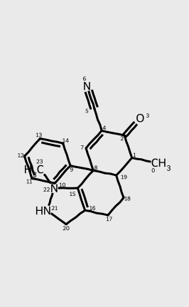 CC1C(=O)C(C#N)=CC2(c3ccccc3)C3=C(CCC12)CNN3C